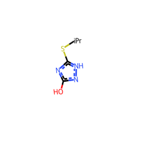 CC(C)Sc1nc(O)n[nH]1